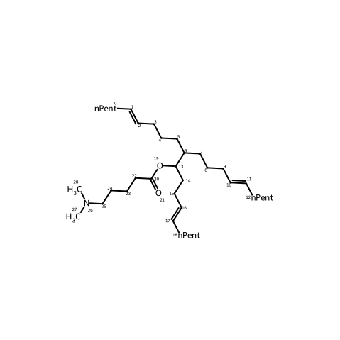 CCCCCC=CCCCC(CCCC=CCCCCC)C(CCC=CCCCCC)OC(=O)CCCCN(C)C